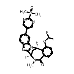 CN1C(=O)c2cccc(OC(F)F)c2[C@H]2C[C@@H]1c1nc3ccc(-c4cnc(P(C)(C)=O)nc4)cc3n12